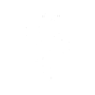 CC(C)(O)C(C)(C)OB(O)c1ccc2c(-c3ccccc3)c3cc(B(O)O)ccc3c(-c3ccccc3)c2c1